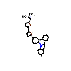 Cc1ccc2c(c1)cc1c3ccccc3c3cc(-c4ccc(-c5ccc(/C=C(\C#N)C(=O)O)s5)s4)ccc3n21